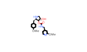 COc1ccc(C[C@H]2NC[C@H](O)[C@H]2OC(=O)NCc2ccnc(OC)c2)cc1